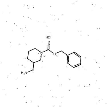 Cl.NOC1CCCN(C(=O)OCc2ccccc2)C1